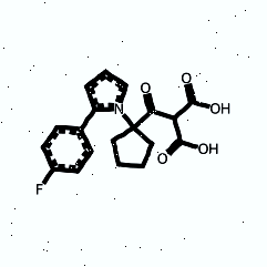 O=C(O)C(C(=O)O)C(=O)C1(n2cccc2-c2ccc(F)cc2)CCCC1